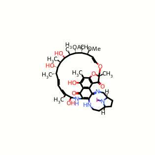 CO[C@H]1/C=C/O[C@@]2(C)Oc3c(C)c(O)c4c(c3C2=O)/C2=N/C[C@H]3CC[C@H](CCNC2=C(NC(O)/C(C)=C\C=C\[C@H](C)[C@H](O)[C@@H](C)[C@@H](O)[C@@H](C)[C@H](OC(C)=O)[C@@H]1C)C4=O)N3I